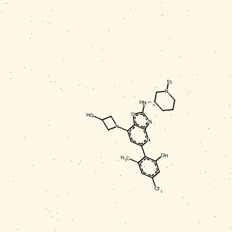 CCN1CCC[C@H](Nc2nc3nc(-c4c(C)cc(C(F)(F)F)cc4O)cc(N4CC(O)C4)c3o2)C1